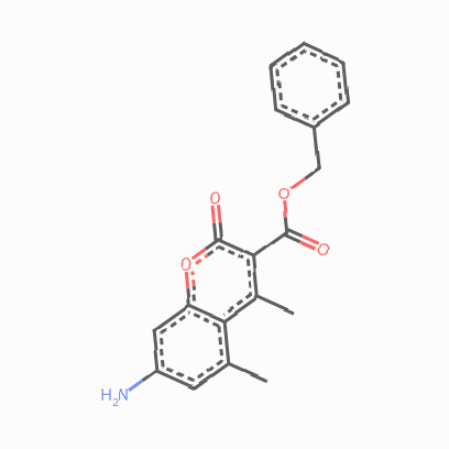 Cc1cc(N)cc2oc(=O)c(C(=O)OCc3ccccc3)c(C)c12